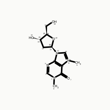 Cn1cnc2c(c1=O)[n+](C)cn2[C@H]1C[C@H](O)[C@@H](CO)O1